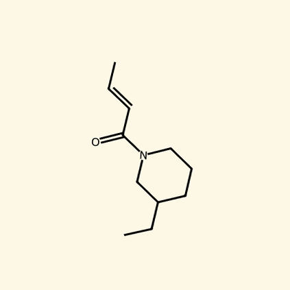 C/C=C/C(=O)N1CCCC(CC)C1